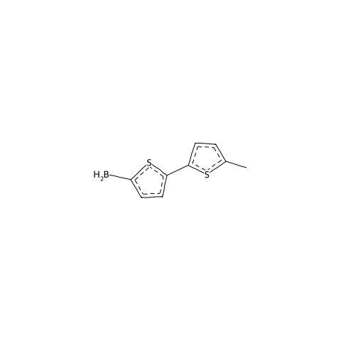 Bc1ccc(-c2ccc(C)s2)s1